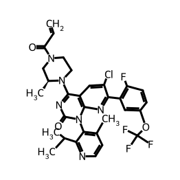 C=CC(=O)N1CCN(c2nc(=O)n(-c3c(C)ccnc3C(C)C)c3nc(-c4cc(OC(F)(F)F)ccc4F)c(Cl)cc23)[C@@H](C)C1